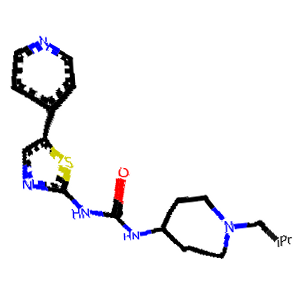 CC(C)CN1CCC(NC(=O)Nc2ncc(-c3ccncc3)s2)CC1